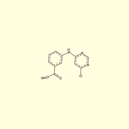 COC(=O)c1cccc(Nc2cc(Cl)ncn2)c1